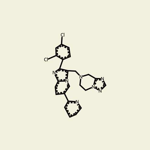 Clc1ccc(-c2nc3ccc(-c4ccccn4)cn3c2CN2CCn3ncnc3C2)c(Cl)c1